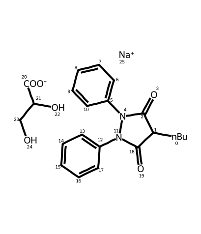 CCCCC1C(=O)N(c2ccccc2)N(c2ccccc2)C1=O.O=C([O-])C(O)CO.[Na+]